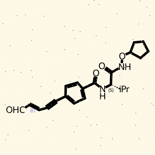 CC(C)[C@H](NC(=O)c1ccc(C#C/C=C/C=O)cc1)C(=O)NOC1CCCC1